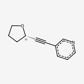 C(#C[C@@H]1CCCO1)c1cccnc1